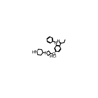 CCc1nn(-c2ccccc2)c2cc(OC3CN(C4CCNCC4)C3)ccc12.Cl